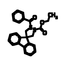 CCOC(=O)SCC1(CSC(=O)c2ccccc2)c2ccccc2-c2ccccc21